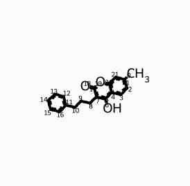 Cc1ccc2c(O)c(CCCc3ccccc3)c(=O)oc2c1